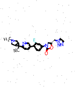 CN1CC2C(C1)C2(C#N)c1ccc(-c2ccc(N3C[C@H](Cn4ccnn4)OC3=O)cc2F)cn1